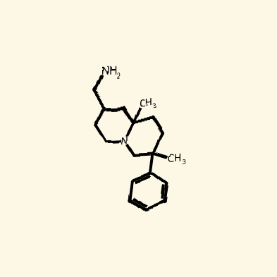 CC1(c2ccccc2)CCC2(C)CC(CN)CCN2C1